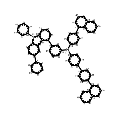 c1ccc(-c2ccc3c(c2)c2c(-c4cccc(N(c5ccc(-c6ccc(-c7cccc8ccccc78)cc6)cc5)c5ccc(-c6cccc7ccccc67)cc5)c4)cccc2n3-c2ccccc2)cc1